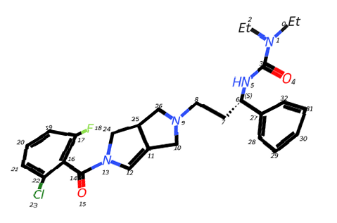 CCN(CC)C(=O)N[C@@H](CCN1CC2=CN(C(=O)c3c(F)cccc3Cl)CC2C1)c1ccccc1